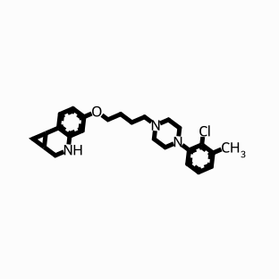 Cc1cccc(N2CCN(CCCCOc3ccc4c(c3)NCC3CC43)CC2)c1Cl